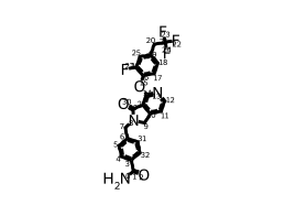 NC(=O)c1ccc(CN2Cc3ccnc(Oc4ccc(CC(F)(F)F)cc4F)c3C2=O)cc1